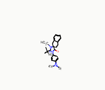 CCN(CC)c1ccc(NC(=O)C2(N(CC(C)(C)[N+](=O)[O-])C(=O)O)CCc3ccccc3C2)cc1